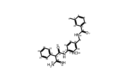 Cc1cccc(C(=O)NCc2ccc(NC(=O)C(C(=N)N)c3ccccc3)cc2)c1.Cl